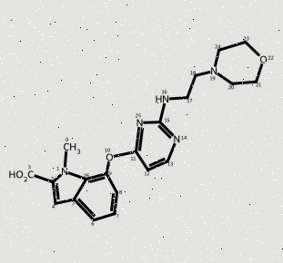 Cn1c(C(=O)O)cc2cccc(Oc3ccnc(NCCN4CCOCC4)n3)c21